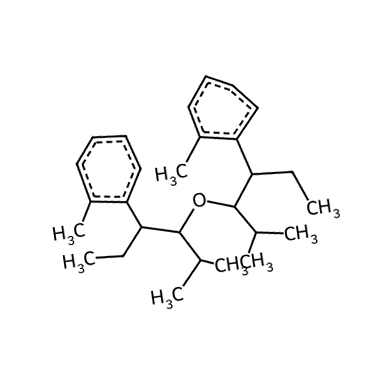 CCC(c1ccccc1C)C(OC(C(C)C)C(CC)c1ccccc1C)C(C)C